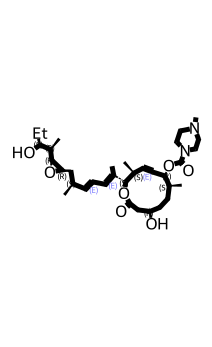 CC[C@H](O)[C@@H](C)[C@H]1O[C@@H]1C[C@H](C)/C=C/C=C(\C)[C@H]1OC(=O)C[C@H](O)CC[C@H](C)[C@@H](OC(=O)N2CCN(C)CC2)/C=C/[C@@H]1C